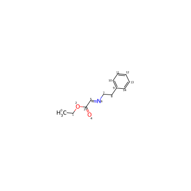 CCOC(=O)C=NCCc1ccccc1